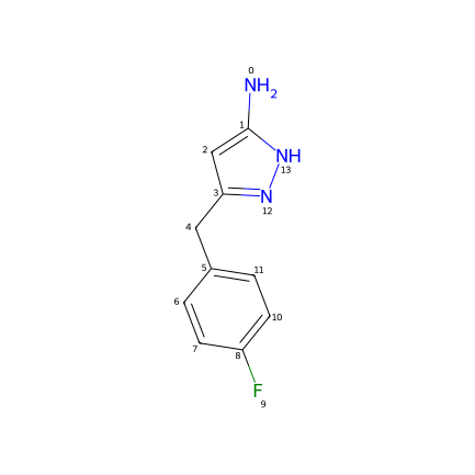 Nc1cc(Cc2ccc(F)cc2)n[nH]1